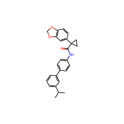 CC(C)c1cccc(-c2ccc(NC(=O)C3(c4ccc5c(c4)OCO5)CC3)cc2)c1